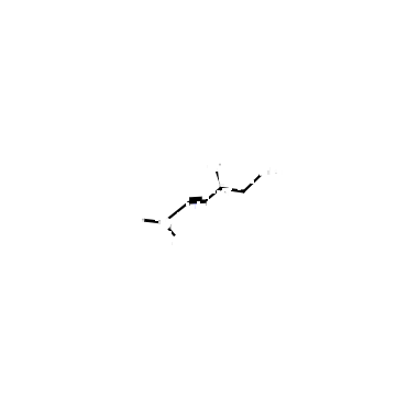 CCCCC[C@H](O)/C=C/B(O)O